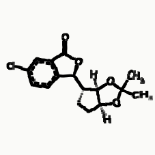 CC1(C)O[C@@H]2[C@@H]([C@@H]3OC(=O)c4cc(Cl)ccc43)CC[C@@H]2O1